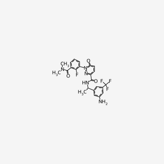 C[C@@H](NC(=O)c1ccc(=O)n(-c2cccc(C(=O)N(C)C)c2F)n1)c1cc(N)cc(C(F)(F)F)c1